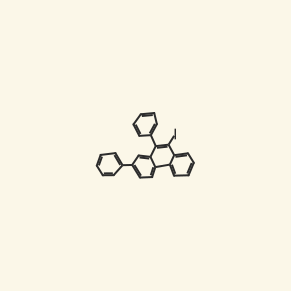 Ic1c(-c2ccccc2)c2cc(-c3ccccc3)ccc2c2ccccc12